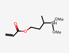 C=CC(=O)OCCC(C)[SiH](OC)OC